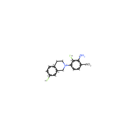 Nc1c([N+](=O)[O-])ccc(N2CCc3ccc(F)cc3C2)c1F